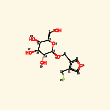 OC[C@H]1O[C@@H](OCc2cocc2CF)[C@H](O)[C@@H](O)[C@H]1O